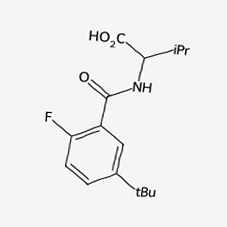 CC(C)C(NC(=O)c1cc(C(C)(C)C)ccc1F)C(=O)O